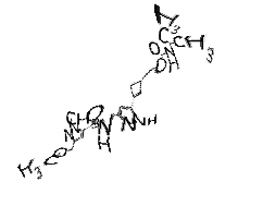 COCc1cc(C(=O)Nc2cc([C@H]3C[C@H](COC(=O)NC(C)C)C3)[nH]n2)n(C)n1